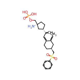 C=C(/C=C1/CC[C@H](CS(=O)(=O)c2ccccc2)C/C1=C/C)[C@H]1CC[C@](N)(COP(=O)(O)O)C1